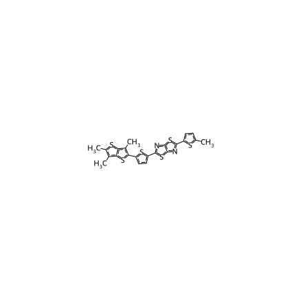 Cc1ccc(-c2nc3sc(-c4ccc(-c5sc6c(C)c(C)sc6c5C)s4)nc3s2)s1